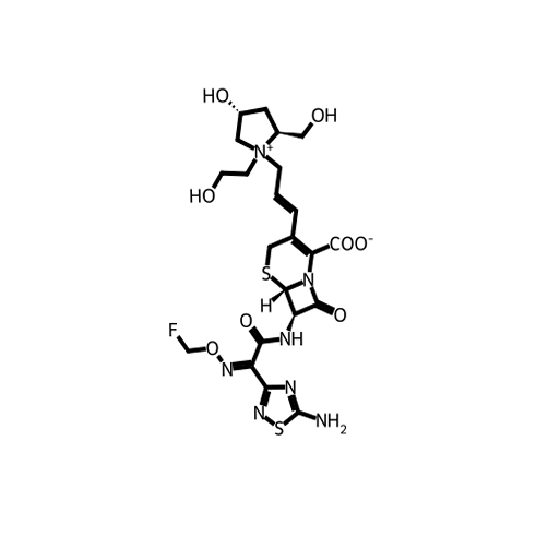 Nc1nc(/C(=N/OCF)C(=O)N[C@@H]2C(=O)N3C(C(=O)[O-])=C(/C=C/C[N+]4(CCO)C[C@H](O)C[C@H]4CO)CS[C@@H]23)ns1